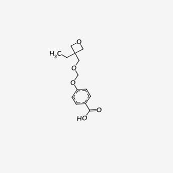 CCC1(COCOc2ccc(C(=O)O)cc2)COC1